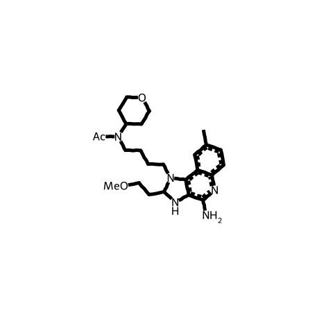 COCCC1Nc2c(N)nc3ccc(C)cc3c2N1CCCCN(C(C)=O)C1CCOCC1